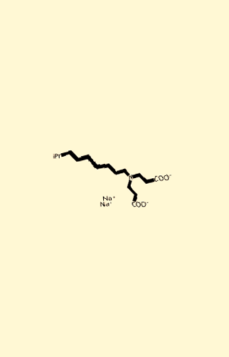 CC(C)CCCCCCCN(CCC(=O)[O-])CCC(=O)[O-].[Na+].[Na+]